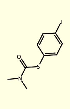 CN(C)C(=O)Sc1ccc(I)cc1